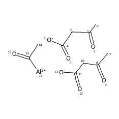 CC(=O)CC(=O)[O-].CC(=O)CC(=O)[O-].C[C](=O)[Al+2]